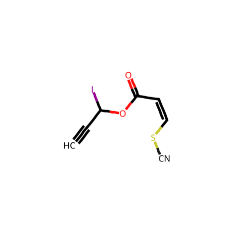 C#CC(I)OC(=O)/C=C\SC#N